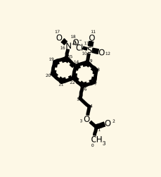 CC(=O)OCCc1ccc(S(=O)(=O)Cl)c2c([N+](=O)[O-])cccc12